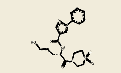 O=C(N[C@@H](CCCO)C(=O)N1CCS(=O)(=O)CC1)c1cnn(-c2ccccc2)c1